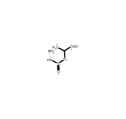 CC([O][Ti](=[O])[OH])C(=O)[O-].[NH4+]